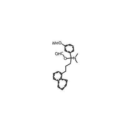 COc1cccc(C(CCCc2cccc3ccccc23)(OC=O)N(C)C)c1